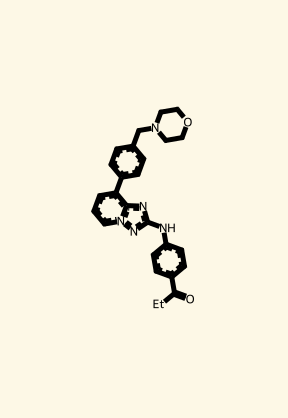 CCC(=O)c1ccc(Nc2nc3c(-c4ccc(CN5CCOCC5)cc4)cccn3n2)cc1